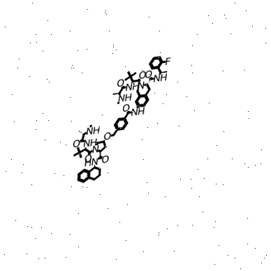 CN[C@@H](C)C(=O)N[C@H](C(=O)N1Cc2cc(NC(=O)c3ccc(CO[C@H]4C[C@@H](C(=O)N[C@@H]5CCCc6ccccc65)N(C(=O)[C@@H](NC(=O)[C@H](C)NC)C(C)(C)C)C4)cc3)ccc2C[C@H]1C(=O)N[C@H](C)c1ccccc1F)C(C)(C)C